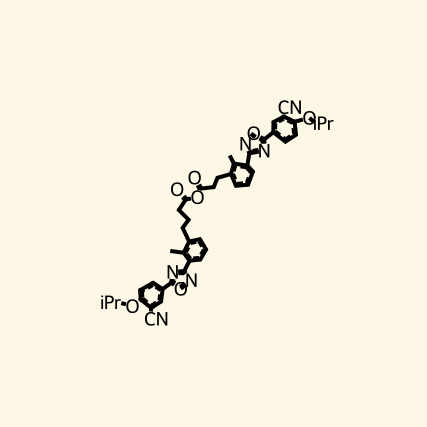 Cc1c(CCCC(=O)OC(=O)CCc2cccc(-c3noc(-c4ccc(OC(C)C)c(C#N)c4)n3)c2C)cccc1-c1noc(-c2ccc(OC(C)C)c(C#N)c2)n1